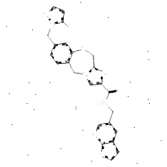 Cc1ccnn1Cc1ccc2c(c1)NCc1nc(C(=O)NCc3cnc4[nH]ccc4c3)cn1C2